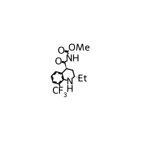 CC[C@H]1C[C@H](C(=O)NC(=O)OC)c2cccc(C(F)(F)F)c2N1